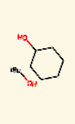 CC(C)(C)O.OC1CCCCC1